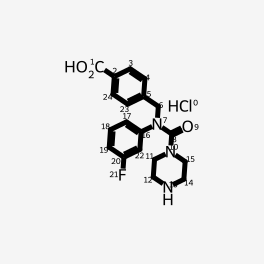 Cl.O=C(O)c1ccc(CN(C(=O)N2CCNCC2)c2cccc(F)c2)cc1